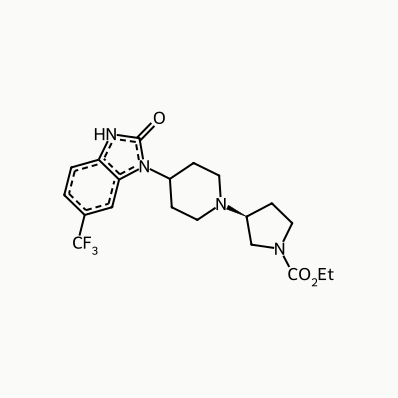 CCOC(=O)N1CC[C@H](N2CCC(n3c(=O)[nH]c4ccc(C(F)(F)F)cc43)CC2)C1